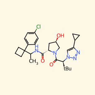 CC(NC(=O)[C@@H]1C[C@@H](O)CN1C(=O)[C@@H](n1cc(C2CC2)nn1)C(C)(C)C)C1(c2ccc(Cl)cc2)CCC1